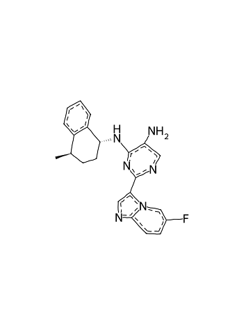 C[C@@H]1CC[C@@H](Nc2nc(-c3cnc4ccc(F)cn34)ncc2N)c2ccccc21